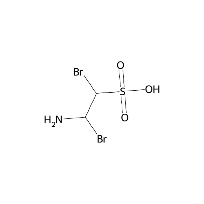 NC(Br)C(Br)S(=O)(=O)O